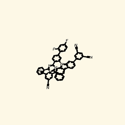 N#Cc1cc(C#N)cc(-c2ccc3c4ccc(-c5cc(C#N)cc(C#N)c5)cc4n(-c4cc(-c5ccc(F)cc5F)ccc4-c4nc(-c5ccccc5)nc(-c5ccccc5)n4)c3c2)c1